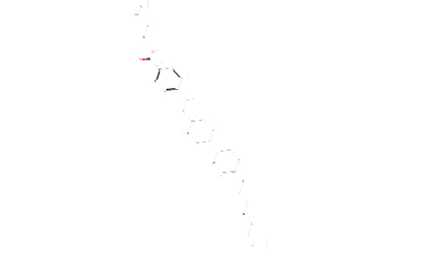 CCCCCCC[C@H]1CC[C@H](C2CCC(CCc3ccc(C(=O)OCCCC)cc3)CC2)CC1